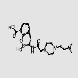 CN(C)CCN1CCN(CC(=O)NC2Cc3cccc(C(=O)O)c3OB2O)CC1